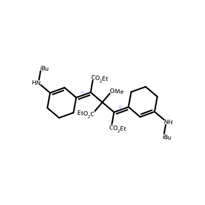 CCOC(=O)/C(=C1\C=C(NC(C)CC)CCC1)C(OC)(C(=O)OCC)/C(C(=O)OCC)=C1/C=C(NC(C)CC)CCC1